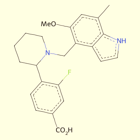 COc1cc(C)c2[nH]ccc2c1CN1CCCCC1c1ccc(C(=O)O)cc1F